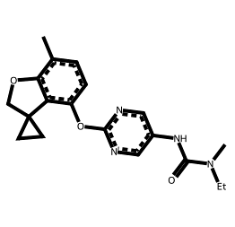 CCN(C)C(=O)Nc1cnc(Oc2ccc(C)c3c2C2(CC2)CO3)nc1